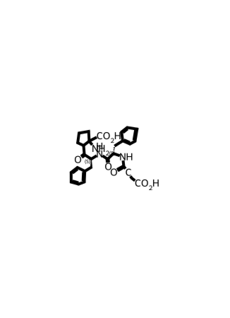 NC1(C(=O)O)CCCC1C(=O)[C@H](Cc1ccccc1)NC(=O)[C@H](Cc1ccccc1)NC(=O)CCC(=O)O